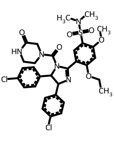 CCOc1cc(OC)c(S(=O)(=O)N(C)C)cc1C1=NC(c2ccc(Cl)cc2)C(c2ccc(Cl)cc2)N1C(=O)N1CCNC(=O)C1